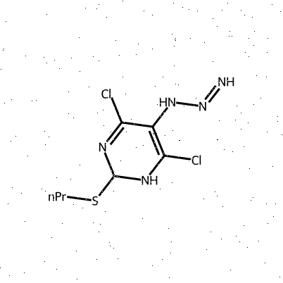 CCCSC1N=C(Cl)C(NN=N)=C(Cl)N1